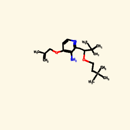 C=C(C)COc1ccnc([C](OCC[Si](C)(C)C)C(C)(C)C)c1N